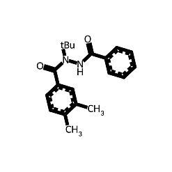 Cc1ccc(C(=O)N(NC(=O)c2ccccc2)C(C)(C)C)cc1C